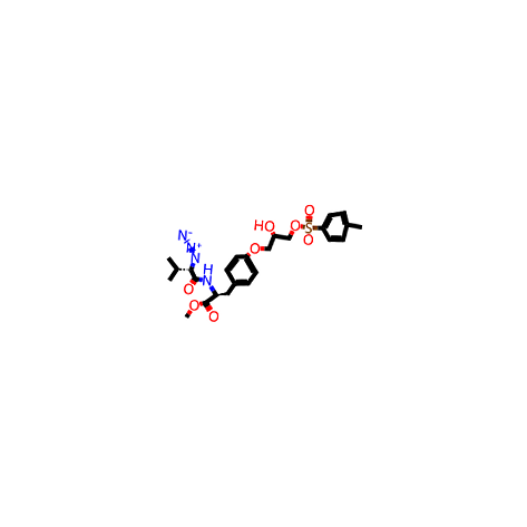 COC(=O)[C@H](Cc1ccc(OCC(O)COS(=O)(=O)c2ccc(C)cc2)cc1)NC(=O)[C@@H](N=[N+]=[N-])C(C)C